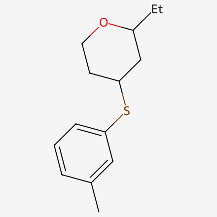 CCC1CC(Sc2cccc(C)c2)CCO1